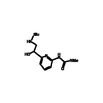 CNC(=O)Nc1cccc(C(O)CNC(C)(C)C)n1